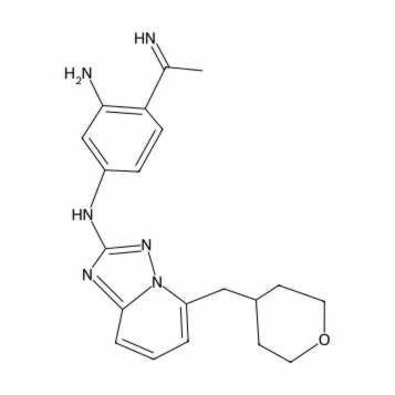 CC(=N)c1ccc(Nc2nc3cccc(CC4CCOCC4)n3n2)cc1N